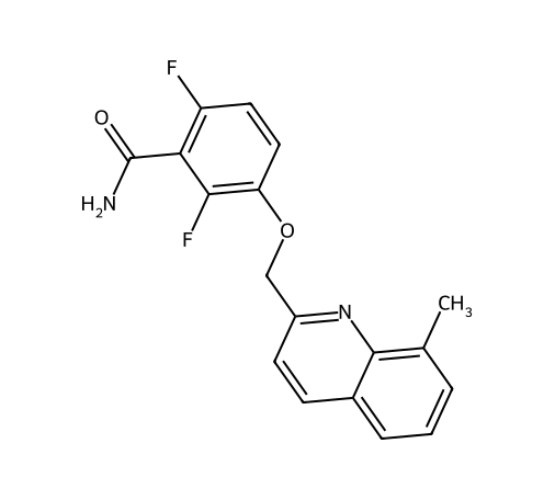 Cc1cccc2ccc(COc3ccc(F)c(C(N)=O)c3F)nc12